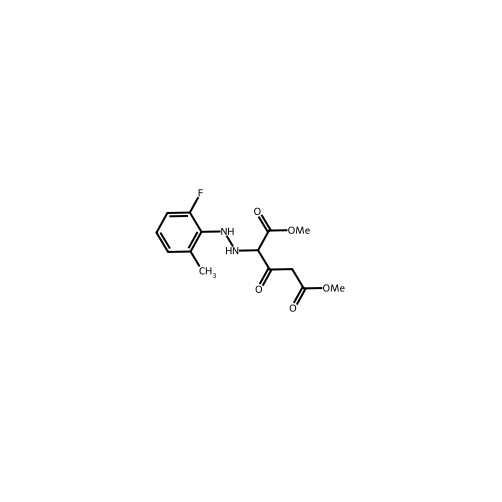 COC(=O)CC(=O)C(NNc1c(C)cccc1F)C(=O)OC